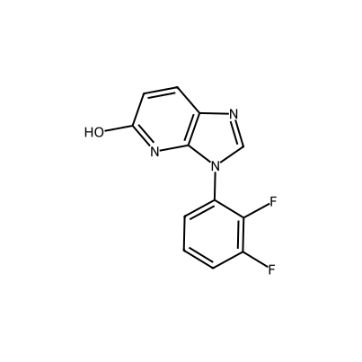 Oc1ccc2ncn(-c3cccc(F)c3F)c2n1